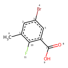 Cc1cc(Br)cc(C(=O)O)c1F